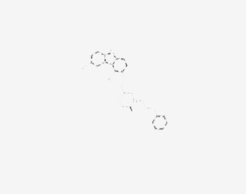 Cc1ccccc1OCCN1CC(COc2ccc3[nH]c4ccc(Br)cc4c3c2Br)OCC1=O